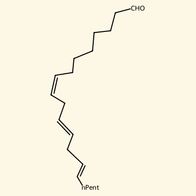 CCCCCC=CCC=CC/C=C\CCCCCCC=O